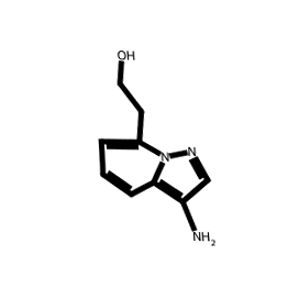 Nc1cnn2c(CCO)cccc12